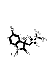 CN1C(=O)C(C)(CS(=O)(=O)N(C)C)c2cc(Cl)ccc21